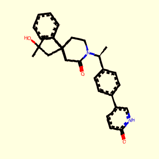 C[C@@H](c1ccc(-c2ccc(=O)[nH]c2)cc1)N1CCC(CC(C)(C)O)(c2ccccc2)CC1=O